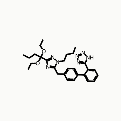 CCCCn1nc(C(CCC)(OCC)OCC)nc1Cc1ccc(-c2ccccc2-c2nnn[nH]2)cc1